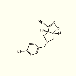 Clc1ccc(CN2C[C@@H]3C(Br)=NO[C@@H]3C2)cc1